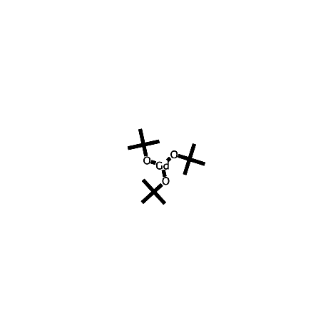 CC(C)(C)[O][Gd]([O]C(C)(C)C)[O]C(C)(C)C